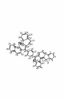 CC1(C)c2ccccc2-c2ccc3c(-c4ccc(-c5c6ccc7ccccc7c6nc6c5ccc5ccccc56)cc4)nc4ccccc4c3c21